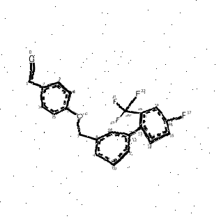 O=Cc1ccc(OCc2cccc(-c3ccc(F)cc3C(F)(F)F)c2)cc1